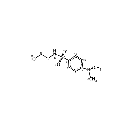 CN(C)c1ccc(S(=O)(=O)NCCO)cc1